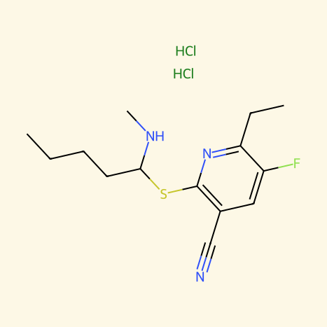 CCCCC(NC)Sc1nc(CC)c(F)cc1C#N.Cl.Cl